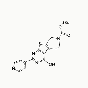 CC(C)(C)OC(=O)N1CCc2c(sc3nc(-c4ccncc4)nc(O)c23)C1